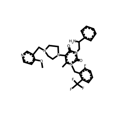 COc1ccncc1CN1CCN(c2c(C)n(Cc3c(F)cccc3C(F)(F)F)c(=O)n(CC(N)c3ccccc3)c2=O)CC1